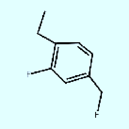 CCc1ccc(CF)cc1F